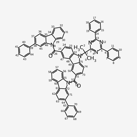 CC(C)(c1nc(-c2ccccc2)nc(-c2ccccc2)n1)n1c2ccc(C(=O)n3c4ccccc4c4ccc(-c5ccccc5)cc43)cc2c2cc(C(=O)n3c4ccccc4c4ccc(-c5ccccc5)cc43)ccc21